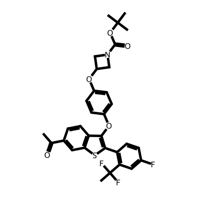 CC(=O)c1ccc2c(Oc3ccc(OC4CN(C(=O)OC(C)(C)C)C4)cc3)c(-c3ccc(F)cc3C(C)(F)F)sc2c1